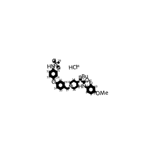 CCCCN(C(=O)Nc1ccc(OC)cc1F)C1CCN(Cc2ccc(Oc3ccc(NS(C)(=O)=O)cc3)cc2)CC1.Cl